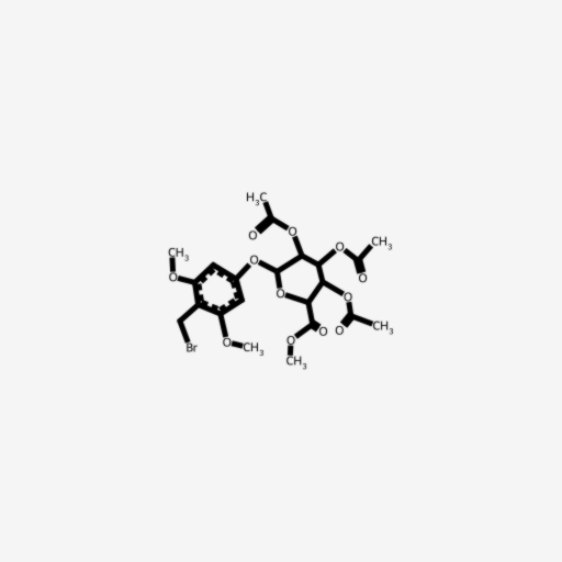 COC(=O)C1OC(Oc2cc(OC)c(CBr)c(OC)c2)C(OC(C)=O)C(OC(C)=O)C1OC(C)=O